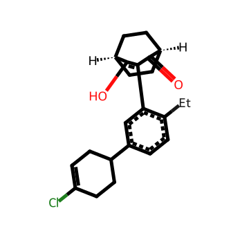 CCc1ccc(C2CC=C(Cl)CC2)cc1C1=C(O)[C@H]2CC[C@H](CC2)C1=O